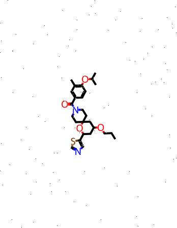 CCCOC1CC(c2cncs2)OC2(CCN(C(=O)c3ccc(OC(C)C)c(C)c3)CC2)C1